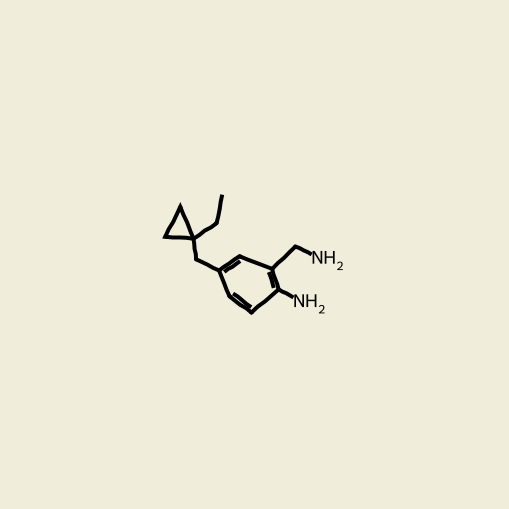 CCC1(Cc2ccc(N)c(CN)c2)CC1